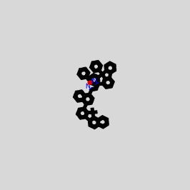 CC1(C)c2c(cccc2-c2ccc(-c3cc(-c4cccc5c4C(c4ccccc4)(c4ccccc4)c4ccccc4-5)nc(-c4ccccc4)n3)c3ccccc23)-c2ccc3ccccc3c21